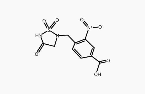 O=C1CN(Cc2ccc(C(=O)O)cc2[N+](=O)[O-])S(=O)(=O)N1